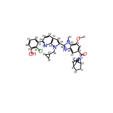 COc1cc(C(=O)N2CC3CCC2[C@@H]3C)cc2nc(-c3cc4ccc(-c5cccc(O)c5Cl)nc4n3CC3CC3)n(C)c12